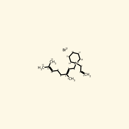 C=CC[N+]1(C/C=C(\C)CCC=C(C)C)CCCCC1.[Br-]